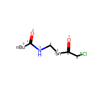 CCCCC(=O)N[CH2][Sn][C](=O)CCl